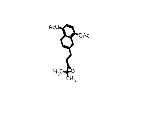 CC(=O)Oc1ccc(OC(C)=O)c2c1CC=C(CCC1OC1(C)C)C2